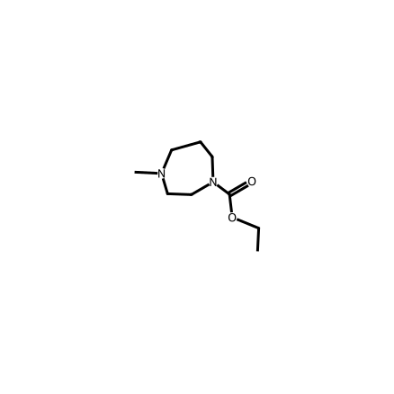 CCOC(=O)N1CCCN(C)CC1